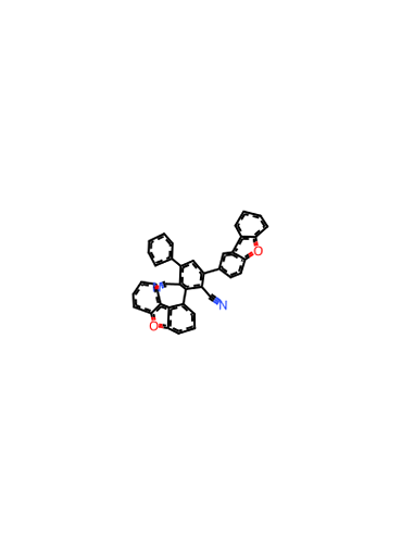 N#Cc1c(-c2ccccc2)cc(-c2ccc3oc4ccccc4c3c2)c(C#N)c1-c1cccc2oc3ccccc3c12